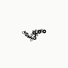 CC(=O)N1CCN(C(C)(C)C=C(C#N)C(=O)N2CCCC(c3nc(-c4ccc(Oc5ccccc5)cc4)c4c([AsH2])nccn34)C2)CC1